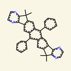 CC1(C)c2cc3c(-c4ccccc4)c4cc5c(cc4c(-c4ccccc4)c3cc2-c2nccnc21)C(C)(C)c1nccnc1-5